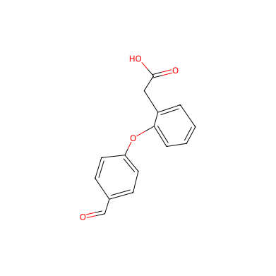 O=Cc1ccc(Oc2ccccc2CC(=O)O)cc1